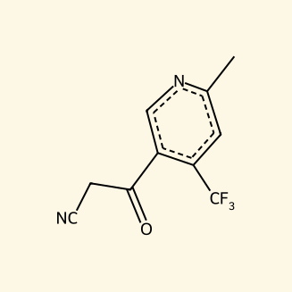 Cc1cc(C(F)(F)F)c(C(=O)CC#N)cn1